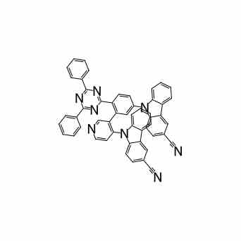 N#Cc1ccc2c(c1)c1ccccc1n2-c1ccc(-c2nc(-c3ccccc3)nc(-c3ccccc3)n2)c(-c2cnccc2-n2c3ccccc3c3cc(C#N)ccc32)c1